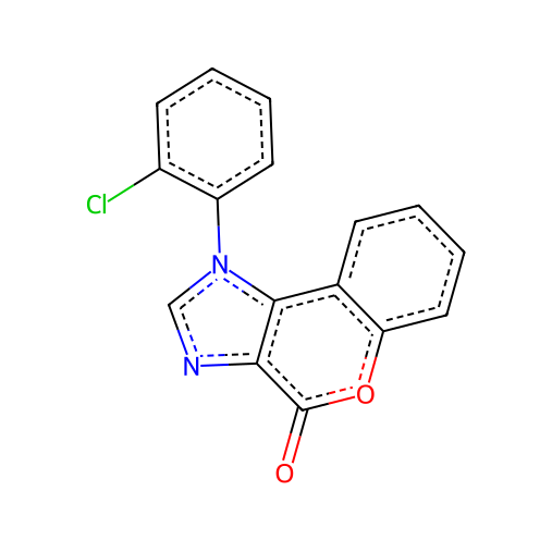 O=c1oc2ccccc2c2c1ncn2-c1ccccc1Cl